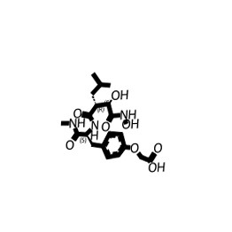 CNC(=O)[C@H](Cc1ccc(OCC(=O)O)cc1)NC(=O)[C@H](CC(C)C)[C@H](O)C(=O)NO